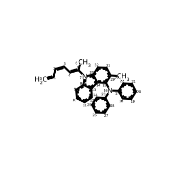 C=C/C=C\C=C(/C)n1c2ccccc2c2c(N(c3ccccc3)c3ccccc3)c(C)ccc21